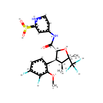 COc1c([C@H]2[C@H](C(=O)Nc3cc[nH]c(=S(=O)=O)c3)O[C@@](C)(C(F)(F)F)[C@H]2C)ccc(F)c1F